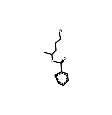 CC(C)CCCC(C)OC(=O)c1ccccc1